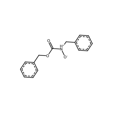 O=C(OCc1ccccc1)[NH+]([O-])Cc1ccccc1